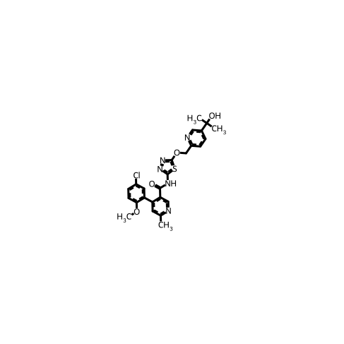 COc1ccc(Cl)cc1-c1cc(C)ncc1C(=O)Nc1nnc(OCc2ccc(C(C)(C)O)cn2)s1